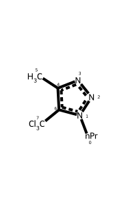 CCCn1nnc(C)c1C(Cl)(Cl)Cl